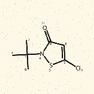 CC(C)(C)n1sc(Cl)cc1=O